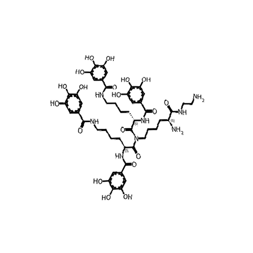 NCCNC(=O)[C@@H](N)CCCCN(C(=O)[C@H](CCCCNC(=O)c1cc(O)c(O)c(O)c1)NC(=O)c1cc(O)c(O)c(O)c1)C(=O)[C@H](CCCCNC(=O)c1cc(O)c(O)c(O)c1)NC(=O)c1cc(O)c(O)c(O)c1